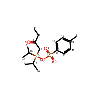 CCC(=O)CS(OS(=O)(=O)c1ccc(C)cc1)(C(C)C)C(C)C